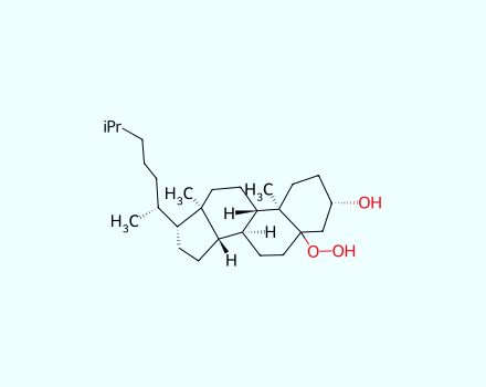 CC(C)CCC[C@@H](C)[C@H]1CC[C@H]2[C@@H]3CCC4(OO)C[C@@H](O)CC[C@]4(C)[C@H]3CC[C@]12C